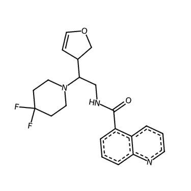 O=C(NCC(C1C=COC1)N1CCC(F)(F)CC1)c1cccc2ncccc12